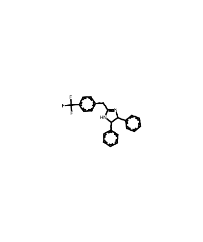 FC(F)(F)c1ccc(CC2=NC(c3ccccc3)C(c3ccccc3)N2)cc1